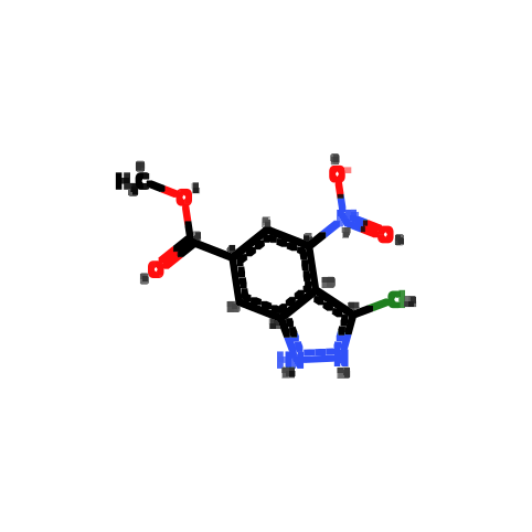 COC(=O)c1cc([N+](=O)[O-])c2c(Cl)n[nH]c2c1